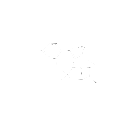 Cc1noc(-c2ccc(F)cc2)c1[C@@]1(C(=O)O)N2C(=S)[C@@H](C)[C@H]2SC1(C)C